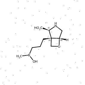 CB(O)CCC[C@]12CO[C@H]1CN[C@@H]2C(=O)O